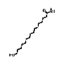 CNC(=O)CCCCCCCCCCCCCCCO